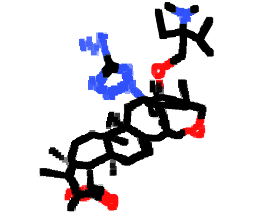 CCC(CO[C@H]1[C@H](n2nnc(N)n2)C[C@@]23COC[C@]1(C)[C@@H]2CC[C@H]1C3=CC[C@@]2(C)[C@H](C(=O)O)[C@@](C)([C@H](C)C(C)C)CC[C@]12C)(C(C)C)N(C)C